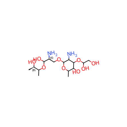 CC1OC(OC[C@H](N)C(O)OC(C)[C@@H](C)O)C(N)C(OC(O)CO)C1O